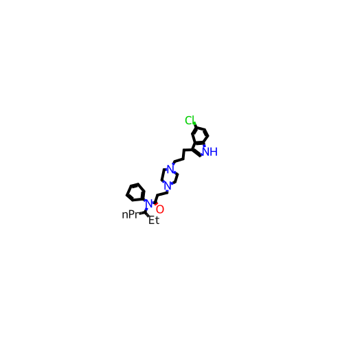 CCCC(CC)N(C(=O)CCN1CCN(CCCc2c[nH]c3ccc(Cl)cc23)CC1)c1ccccc1